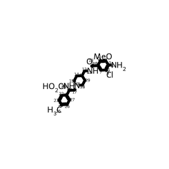 COc1cc(N)c(Cl)cc1C(=O)NCC1CCN(CC(NC(=O)O)c2ccc(C)cc2)CC1